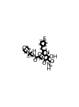 CNC(=O)c1c(O)c2ncc(Cc3ccc(F)cc3)c3c2n(c1=O)C=C(C(=O)NCC(C)(C)N1CCOCC1)O3